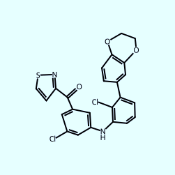 O=C(c1cc(Cl)cc(Nc2cccc(-c3ccc4c(c3)OCCO4)c2Cl)c1)c1ccsn1